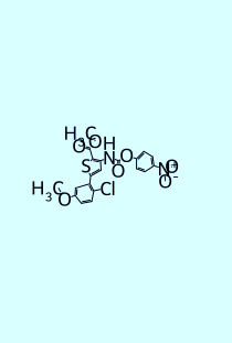 COC(=O)c1sc(-c2cc(OC)ccc2Cl)cc1NC(=O)Oc1ccc([N+](=O)[O-])cc1